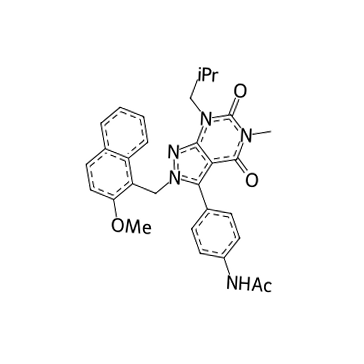 COc1ccc2ccccc2c1Cn1nc2c(c1-c1ccc(NC(C)=O)cc1)c(=O)n(C)c(=O)n2CC(C)C